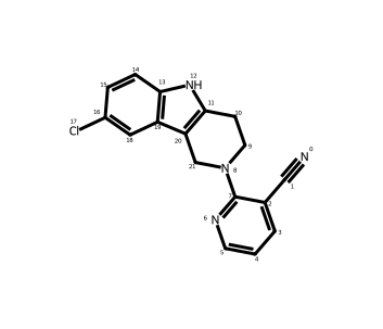 N#Cc1cccnc1N1CCc2[nH]c3ccc(Cl)cc3c2C1